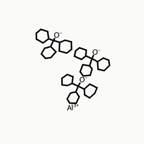 [Al+3].[O-]C(C1CCCCC1)(C1CCCCC1)C1CCCCC1.[O-]C(C1CCCCC1)(C1CCCCC1)C1CCCCC1.[O-]C(C1CCCCC1)(C1CCCCC1)C1CCCCC1